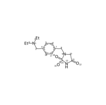 CCN(CC)Cc1ccc(CN2CC(=O)NS2(=O)=O)cc1